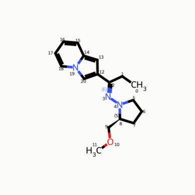 CC/C(=N\N1CCC[C@H]1COC)c1cc2ccccn2c1